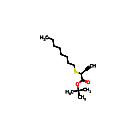 C#CC(SCCCCCCCC)C(=O)OC(C)(C)C